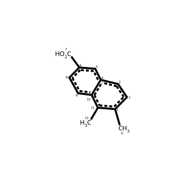 Cc1ccc2cc(C(=O)O)ccc2c1C